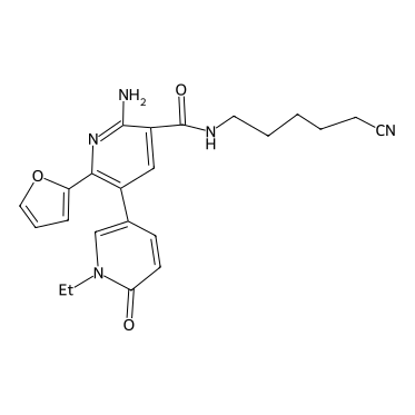 CCn1cc(-c2cc(C(=O)NCCCCCC#N)c(N)nc2-c2ccco2)ccc1=O